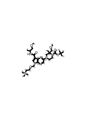 COCC(C)NC(=O)c1cn(COCC[Si](C)(C)C)c2ncc(N3CCN(C(=O)OC(C)(C)C)C(C)(COC)C3)nc12